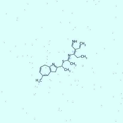 C=C/C(C=N)=C(CC)/N=C(\C)SC(C)C1=NC2=C(C=C(C)C=CC2)C1